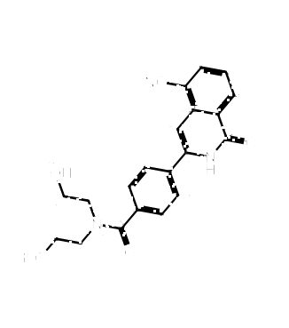 N#Cc1cccc2c(=O)[nH]c(-c3ccc(C(=O)N(CCO)CCO)cc3)cc12